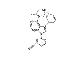 C[C@@H]1CN(c2ncnc3c2c(-c2ccccc2)cn3-c2cc(C#N)ccn2)[C@@H](C)CN1